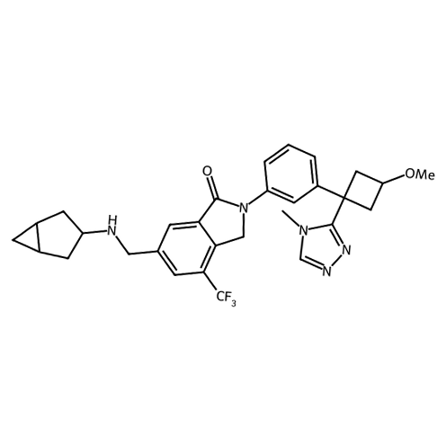 COC1CC(c2cccc(N3Cc4c(cc(CNC5CC6CC6C5)cc4C(F)(F)F)C3=O)c2)(c2nncn2C)C1